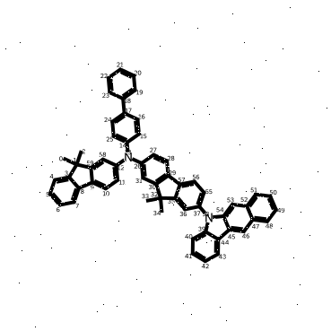 CC1(C)c2ccccc2-c2ccc(N(c3ccc(-c4ccccc4)cc3)c3ccc4c(c3)C(C)(C)c3cc(-n5c6ccccc6c6cc7ccccc7cc65)ccc3-4)cc21